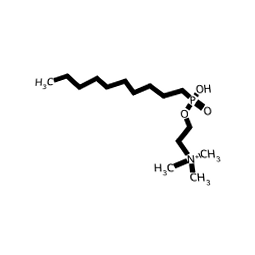 CCCCCCCCCCP(=O)(O)OCC[N+](C)(C)C